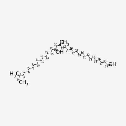 CCC(C)CCCCCCCCCCCCCCC(O)CC(C)CCCCCCCCCCCCCCCCCO